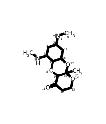 CNC1CC(NC)C2OC3C(=O)CCOC3(C)OC2C1